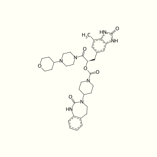 Cc1cc(C[C@@H](OC(=O)N2CCC(N3CCc4ccccc4NC3=O)CC2)C(=O)N2CCN(C3CCOCC3)CC2)cc2[nH]c(=O)[nH]c12